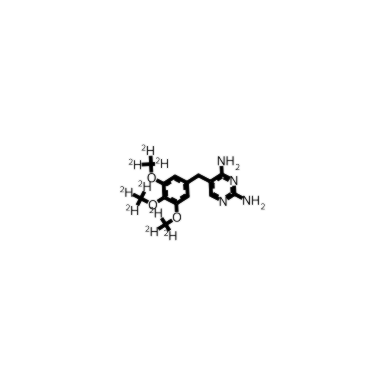 [2H]C([2H])([2H])Oc1cc(Cc2cnc(N)nc2N)cc(OC([2H])([2H])[2H])c1OC([2H])([2H])[2H]